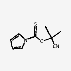 CC(C)(C#N)OC(=S)n1cccc1